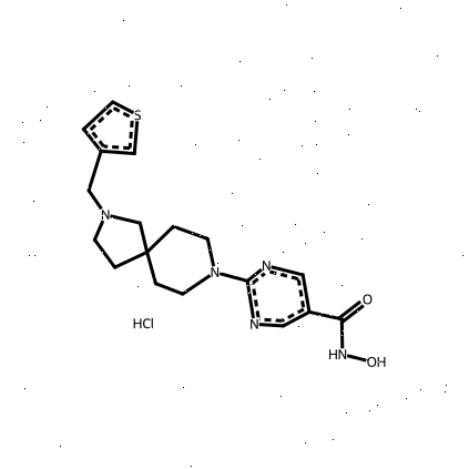 Cl.O=C(NO)c1cnc(N2CCC3(CCN(Cc4ccsc4)C3)CC2)nc1